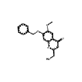 COc1cc2c(=O)cc(CO)oc2cc1OCc1ccccc1